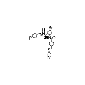 O=C(Nc1ccc(Br)cc1C(=O)N/N=C/c1ccc(F)cc1)c1ccc(CSc2ccncc2)cc1